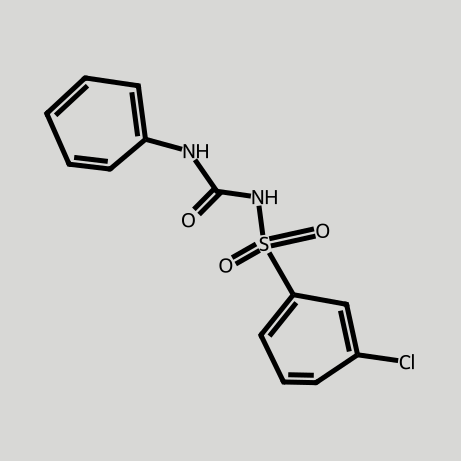 O=C(Nc1ccccc1)NS(=O)(=O)c1cccc(Cl)c1